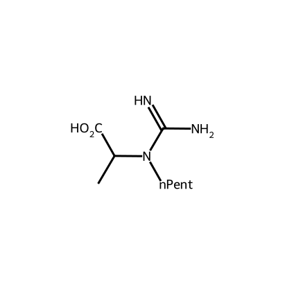 CCCCCN(C(=N)N)C(C)C(=O)O